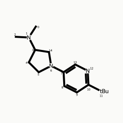 CN(C)C1CCN(c2ccc(C(C)(C)C)nc2)C1